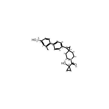 Cc1cc(C(=O)O)ccc1-c1ccc(C2CC23CCN(C(=O)C2(O)CC2)CC3)cc1